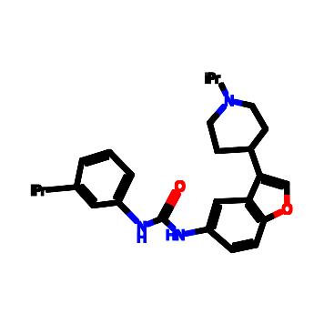 CC(C)c1cccc(NC(=O)Nc2ccc3occ(C4CCN(C(C)C)CC4)c3c2)c1